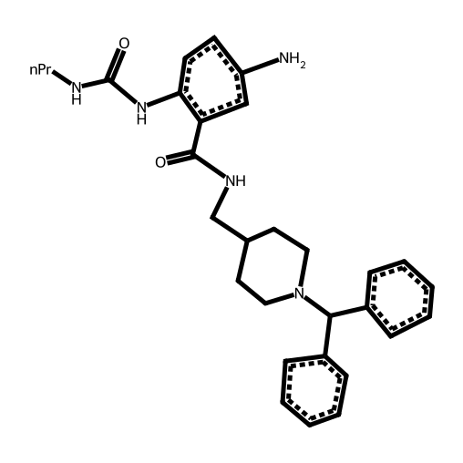 CCCNC(=O)Nc1ccc(N)cc1C(=O)NCC1CCN(C(c2ccccc2)c2ccccc2)CC1